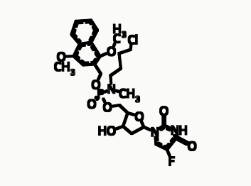 COc1cc(COP(=O)(OCC2OC(n3cc(F)c(=O)[nH]c3=O)CC2O)N(C)CCCCCl)c(OC)c2ccccc12